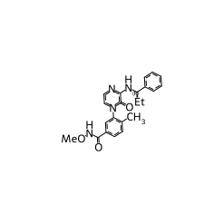 CC[C@@H](Nc1nccn(-c2cc(C(=O)NOC)ccc2C)c1=O)c1ccccc1